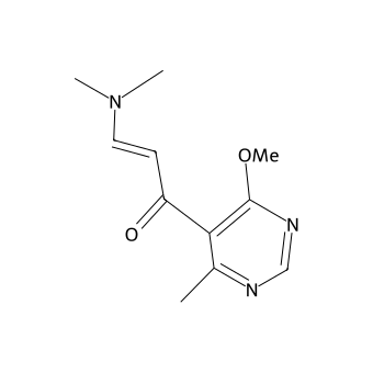 COc1ncnc(C)c1C(=O)/C=C/N(C)C